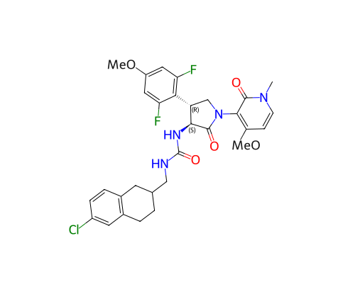 COc1cc(F)c([C@@H]2CN(c3c(OC)ccn(C)c3=O)C(=O)[C@H]2NC(=O)NCC2CCc3cc(Cl)ccc3C2)c(F)c1